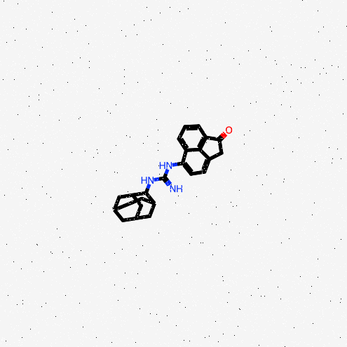 N=C(Nc1ccc2c3c(cccc13)C(=O)C2)NC1C2CC3CC(C2)CC1C3